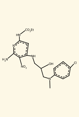 CCOC(=O)Nc1cc(NCC(O)CN(C)c2ccc(Cl)cc2)c([N+](=O)[O-])c(N)n1